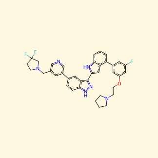 Fc1cc(OCCN2CCCC2)cc(-c2cccc3[nH]c(-c4n[nH]c5ccc(-c6cncc(CN7CCC(F)(F)C7)c6)cc45)cc23)c1